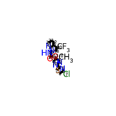 Cc1nc(-c2nc(Cl)cs2)ncc1OC(=O)Nn1cc(C(F)(F)F)c2cccnc21